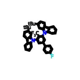 CC(C)(C)c1ccc2c3ccccc3n(-c3cc(-c4ccc(F)cc4)cc(-n4c5ccccc5c5ccc(C(C)(C)C)cc54)c3C(F)(F)F)c2c1